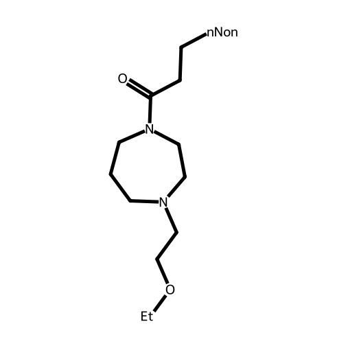 CCCCCCCCCCCC(=O)N1CCCN(CCOCC)CC1